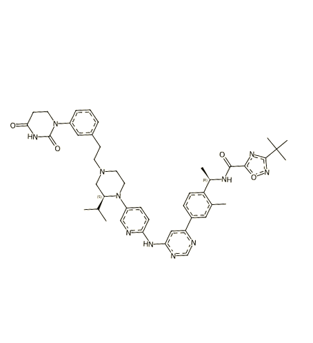 Cc1cc(-c2cc(Nc3ccc(N4CCN(CCc5cccc(N6CCC(=O)NC6=O)c5)C[C@@H]4C(C)C)cn3)ncn2)ccc1[C@@H](C)NC(=O)c1nc(C(C)(C)C)no1